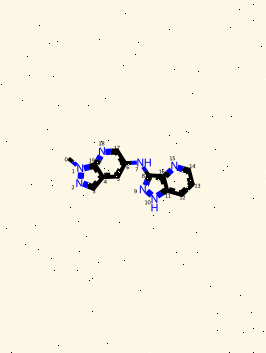 Cn1ncc2cc(Nc3n[nH]c4cccnc34)cnc21